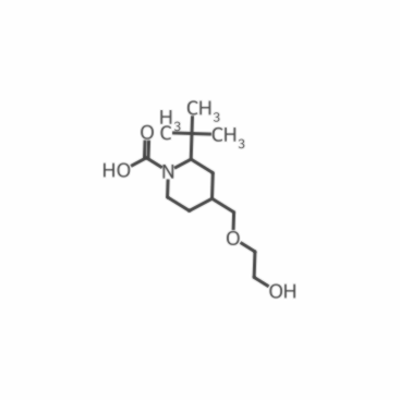 CC(C)(C)C1CC(COCCO)CCN1C(=O)O